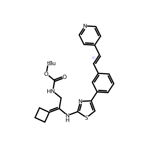 CC(C)(C)OC(=O)NCC(Nc1nc(-c2cccc(/C=C/c3ccncc3)c2)cs1)=C1CCC1